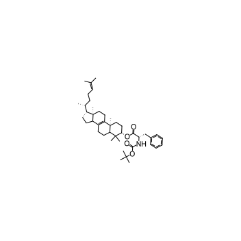 CC(C)=CCC[C@@H](C)[C@H]1CCC2C3=C(CC[C@@]21C)[C@@]1(C)CC[C@H](OC(=O)[C@H](Cc2ccccc2)NC(=O)OC(C)(C)C)C(C)(C)C1CC3